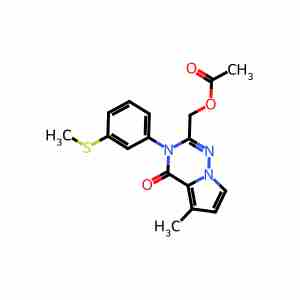 CSc1cccc(-n2c(COC(C)=O)nn3ccc(C)c3c2=O)c1